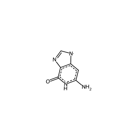 Nc1cc2c(c(=O)[nH]1)N=C[N]2